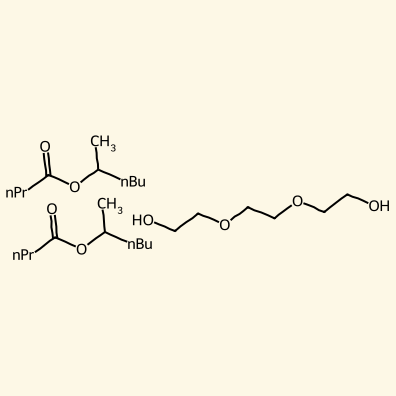 CCCCC(C)OC(=O)CCC.CCCCC(C)OC(=O)CCC.OCCOCCOCCO